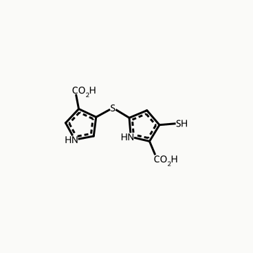 O=C(O)c1c[nH]cc1Sc1cc(S)c(C(=O)O)[nH]1